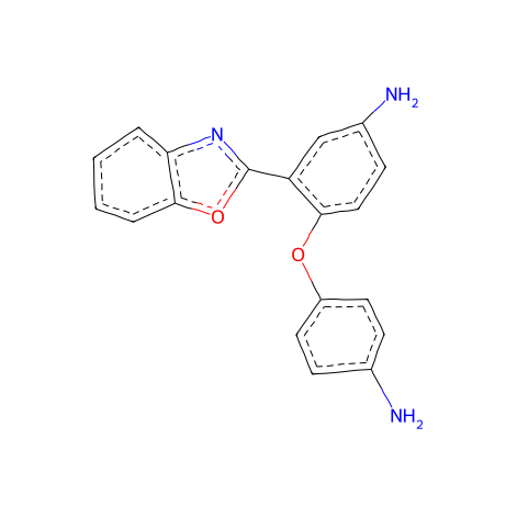 Nc1ccc(Oc2ccc(N)cc2-c2nc3ccccc3o2)cc1